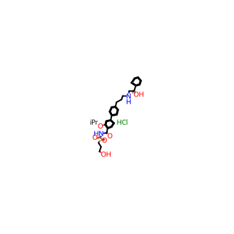 CC(C)Oc1cc(-c2ccc(CCCNC[C@H](O)c3ccccc3)cc2)ccc1C(=O)NS(=O)(=O)CCCO.Cl